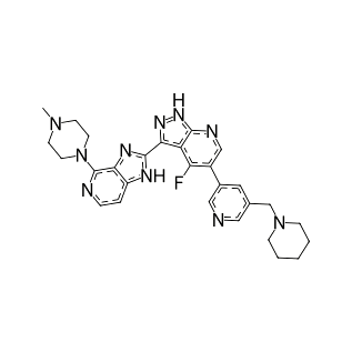 CN1CCN(c2nccc3[nH]c(-c4n[nH]c5ncc(-c6cncc(CN7CCCCC7)c6)c(F)c45)nc23)CC1